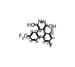 Oc1nnc(O)c(-c2c(F)cc(F)cc2F)c1-c1cccc(C(F)(F)F)c1